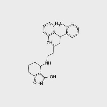 Cc1ccccc1C(CCCCNC1CCCc2onc(O)c21)c1ccccc1C